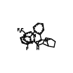 O=C(c1ccccc1-c1ncccn1)N1C2CCC1C(Nc1ncc(C(F)(F)F)cc1F)C2